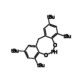 CC(C)(C)c1cc2c(c(C(C)(C)C)c1)OPOc1c(cc(C(C)(C)C)cc1C(C)(C)C)C2